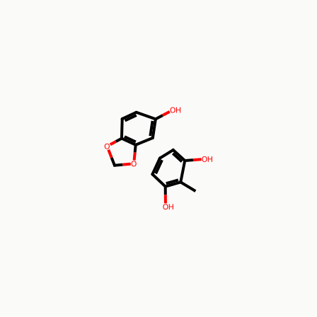 Cc1c(O)cccc1O.Oc1ccc2c(c1)OCO2